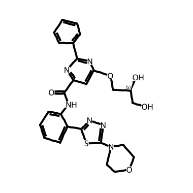 O=C(Nc1ccccc1-c1nnc(N2CCOCC2)s1)c1cc(OC[C@@H](O)CO)nc(-c2ccccc2)n1